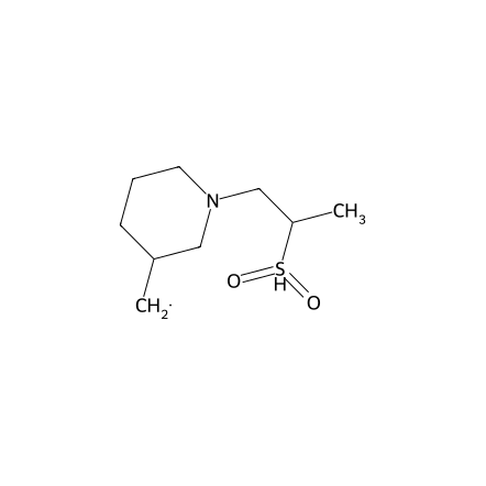 [CH2]C1CCCN(CC(C)[SH](=O)=O)C1